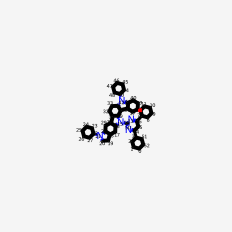 c1ccc(-c2cc(-c3ccccc3)nc(-n3c4cc5ccn(-c6ccccc6)c5cc4c4ccc5c(c6ccccc6n5-c5ccccc5)c43)n2)cc1